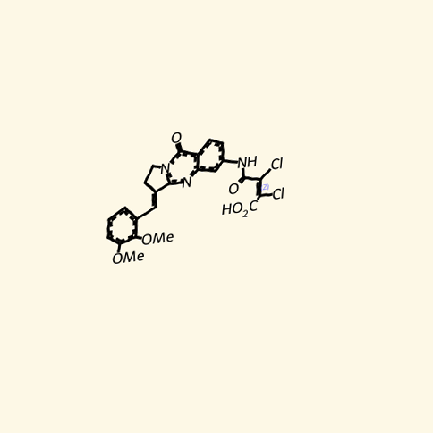 COc1cccc(C=C2CCn3c2nc2cc(NC(=O)/C(Cl)=C(/Cl)C(=O)O)ccc2c3=O)c1OC